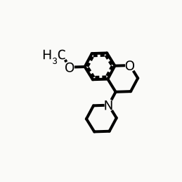 COc1ccc2c(c1)C(N1CCCCC1)CCO2